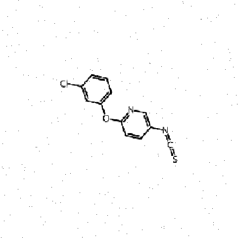 S=C=Nc1ccc(Oc2cccc(Cl)c2)nc1